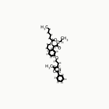 CCCCCC(=O)N1CCc2ccc(OCCc3nc(-c4ccccc4)oc3C)cc2C1C(=O)OCC